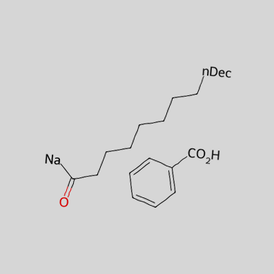 CCCCCCCCCCCCCCCCC[C](=O)[Na].O=C(O)c1ccccc1